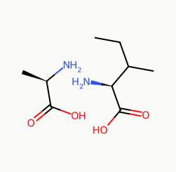 CCC(C)[C@H](N)C(=O)O.C[C@@H](N)C(=O)O